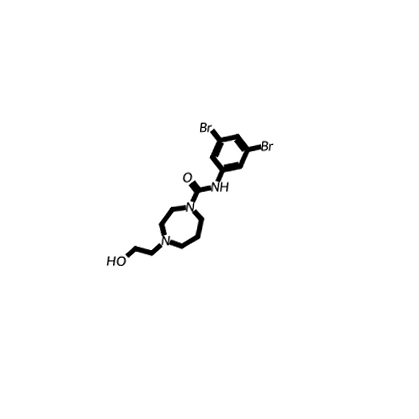 O=C(Nc1cc(Br)cc(Br)c1)N1CCCN(CCO)CC1